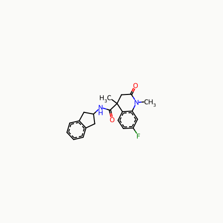 CN1C(=O)CC(C)(C(=O)NC2Cc3ccccc3C2)c2ccc(F)cc21